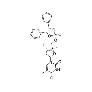 Cc1cn(C2C[C@H](F)[C@@](F)(COP(=O)(OCc3ccccc3)OCc3ccccc3)O2)c(=O)[nH]c1=O